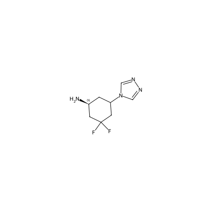 N[C@H]1CC(n2cnnc2)CC(F)(F)C1